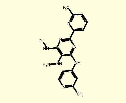 CC(C)Nc1nc(-c2cccc(C(F)(F)F)n2)nc(Nc2ccnc(C(F)(F)F)c2)c1NN